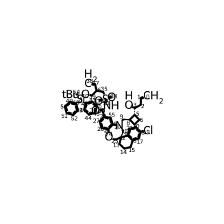 C=CCC(O)[C@@H]1CC[C@H]1CN1C[C@@]2(CCCc3cc(Cl)ccc32)COc2ccc(C(=O)NS(=O)(=O)CC(C=C)CO[Si](c3ccccc3)(c3ccccc3)C(C)(C)C)cc21